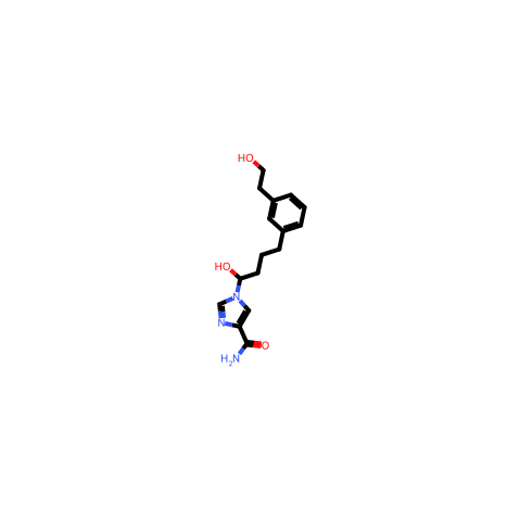 NC(=O)c1cn(C(O)CCCc2cccc(CCO)c2)cn1